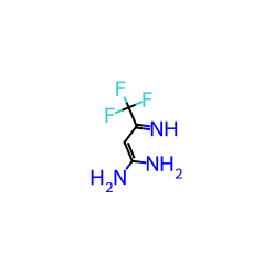 N=C(C=C(N)N)C(F)(F)F